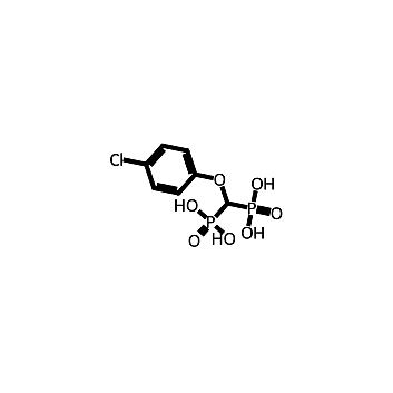 O=P(O)(O)C(Oc1ccc(Cl)cc1)P(=O)(O)O